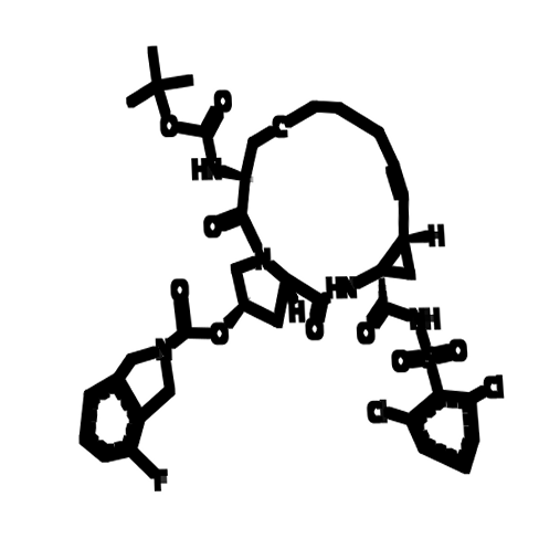 CC(C)(C)OC(=O)N[C@H]1CCCCC/C=C\[C@@H]2C[C@@]2(C(=O)NS(=O)(=O)c2c(Cl)cccc2Cl)NC(=O)[C@@H]2C[C@@H](OC(=O)N3Cc4cccc(F)c4C3)CN2C1=O